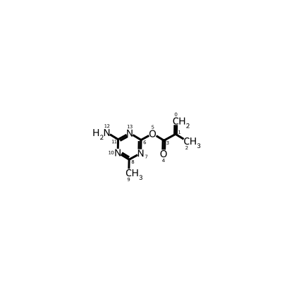 C=C(C)C(=O)Oc1nc(C)nc(N)n1